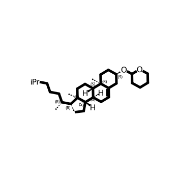 CC(C)CCC[C@@H](C)[C@H]1CC[C@H]2[C@@H]3CC=C4C[C@@H](OC5CCCCO5)CC[C@]4(C)[C@H]3CC[C@]12C